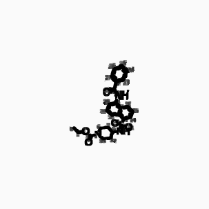 CCOC(=O)N1CCC(NS(=O)(=O)c2cccc3c(NC(=O)c4ccccc4)cccc23)CC1